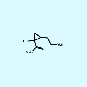 COCCC1CC1(N)C(=O)OC